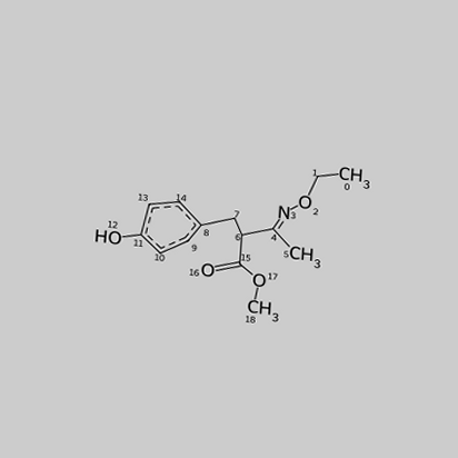 CCON=C(C)C(Cc1ccc(O)cc1)C(=O)OC